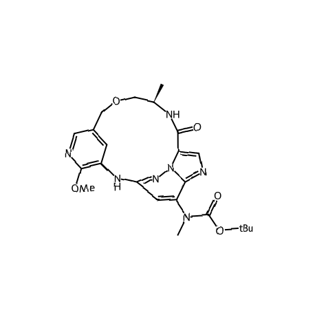 COc1ncc2cc1Nc1cc(N(C)C(=O)OC(C)(C)C)c3ncc(n3n1)C(=O)N[C@H](C)COC2